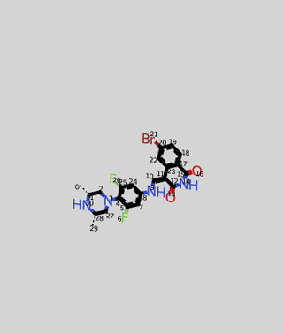 C[C@@H]1CN(c2c(F)cc(NC=C3C(=O)NC(=O)c4ccc(Br)cc43)cc2F)C[C@H](C)N1